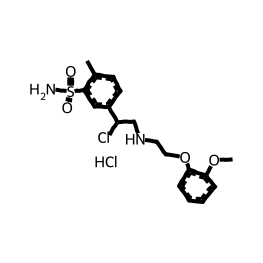 COc1ccccc1OCCNCC(Cl)c1ccc(C)c(S(N)(=O)=O)c1.Cl